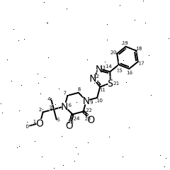 COCC(C)(C)N1CCN(Cc2nnc(-c3ccccc3)s2)C(=O)C1=O